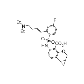 CCN(CC)CCC=Cc1cc(F)ccc1S(=O)(=O)Nc1ccc2c(c1C(=O)O)OCC1CC21